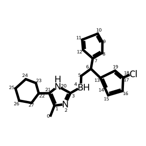 Cc1nc(BCC(c2ccccc2)c2cccc(Cl)c2)[nH]c1C1CCCCC1